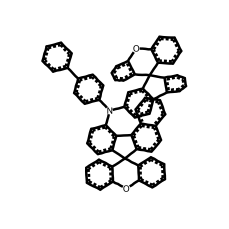 c1ccc(-c2ccc(N(c3ccc4c(c3)C3(c5ccccc5Oc5ccccc53)c3ccccc3-4)c3cccc4c3-c3c(ccc5ccccc35)C43c4ccccc4Oc4ccccc43)cc2)cc1